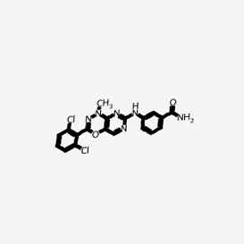 CN1N=C(c2c(Cl)cccc2Cl)Oc2cnc(Nc3cccc(C(N)=O)c3)nc21